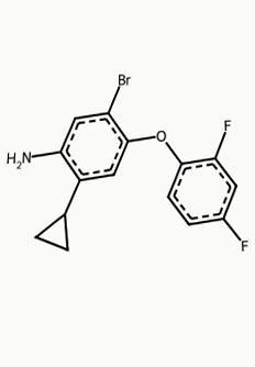 Nc1cc(Br)c(Oc2ccc(F)cc2F)cc1C1CC1